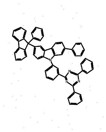 c1ccc(-c2ccc3c4cc(C5(c6ccccc6)c6ccccc6-c6ccccc65)ccc4n(-c4cccc(-c5nc(-c6ccccc6)nc(-c6ccccc6)n5)c4)c3c2)cc1